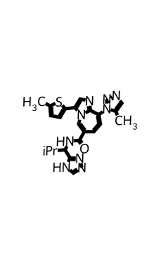 Cc1ccc(-c2cnc3n2C=C(C(=O)NC(c2nnc[nH]2)C(C)C)C=C=C3n2nncc2C)s1